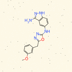 COc1cccc(Cc2nnc(Nc3ccc4[nH]nc(N)c4c3)o2)c1